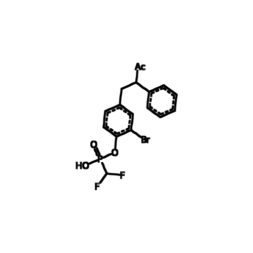 CC(=O)C(Cc1ccc(OP(=O)(O)C(F)F)c(Br)c1)c1ccccc1